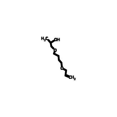 C=CCOCCCCOCC(C)O